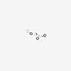 COc1ccc(N(C(=O)OCCc2ccccc2)c2ccnc(Nc3ccc(N4CCN(C)C(C)C4)c(F)c3)n2)c(OC)c1